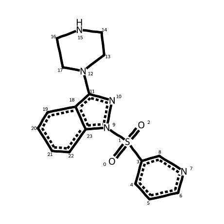 O=S(=O)(c1cccnc1)n1nc(N2CCNCC2)c2ccccc21